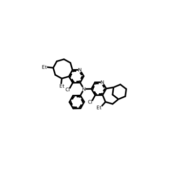 CCC1CCCc2ncc(N(c3ccccc3)c3cnc4c(c3Cl)C(CC)CC3CCCC4C3)c(Cl)c2C(CC)C1